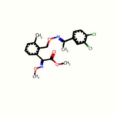 CO/N=C(/C(=O)OC)c1cccc(C)c1CO/N=C(\C)c1ccc(Cl)c(Cl)c1